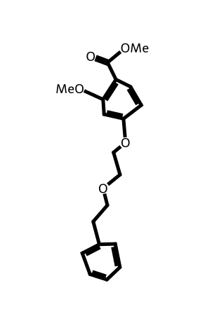 COC(=O)c1ccc(OCCOCCc2ccccc2)cc1OC